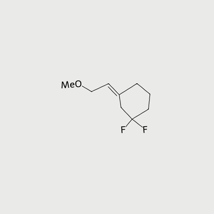 COC/C=C1/CCCC(F)(F)C1